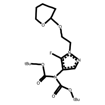 CC(C)(C)OC(=O)N(C(=O)OC(C)(C)C)c1cnn(CCOC2CCCCO2)c1F